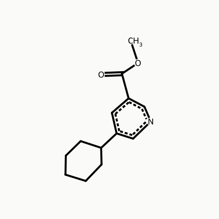 COC(=O)c1cncc(C2CCCCC2)c1